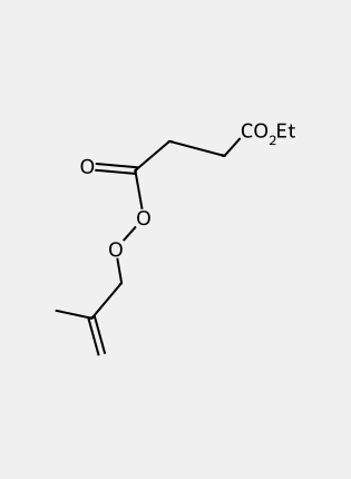 C=C(C)COOC(=O)CCC(=O)OCC